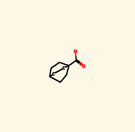 [O]C(=O)C12CCC(CC1)CC2